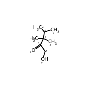 CC(C)C(C)(C)C(=O)CO